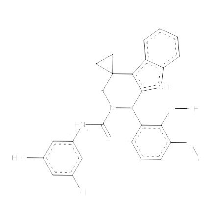 COc1cccc(C2c3[nH]c4ccccc4c3C3(CC3)CN2C(=O)Nc2cc(C)cc(C)c2)c1OC